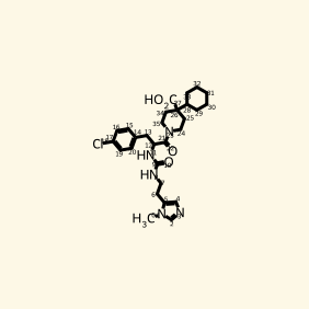 Cn1cncc1CCNC(=O)NC(Cc1ccc(Cl)cc1)C(=O)N1CCC(C(=O)O)(C2CCCCC2)CC1